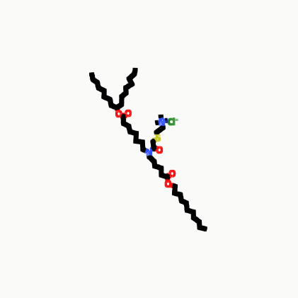 CCCCCCCCCCCOC(=O)CCCCCN(CCCCCCCC(=O)OC(CCCCCCCC)CCCCCCCC)C(=O)CSCC[N+](C)(C)C.[Cl-]